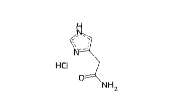 Cl.NC(=O)Cc1c[nH]cn1